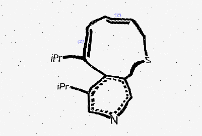 CC(C)/C1=C/C=C\CSc2cncc(C(C)C)c21